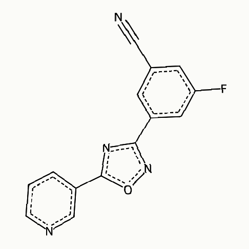 N#Cc1cc(F)cc(-c2noc(-c3cccnc3)n2)c1